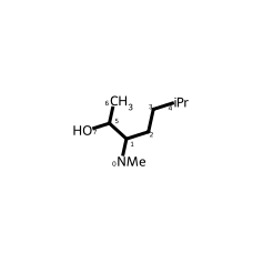 CNC(CCC(C)C)C(C)O